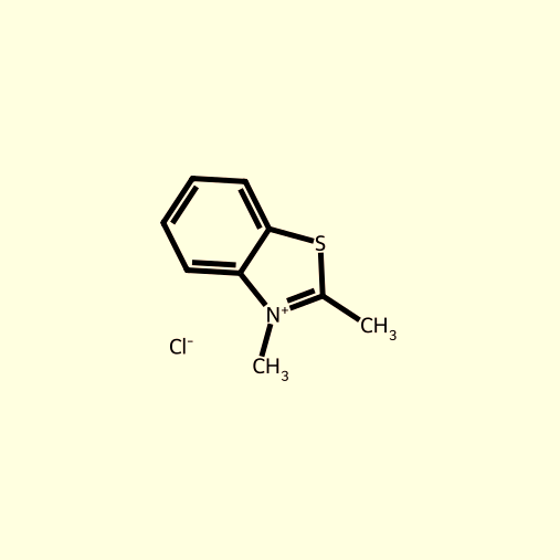 Cc1sc2ccccc2[n+]1C.[Cl-]